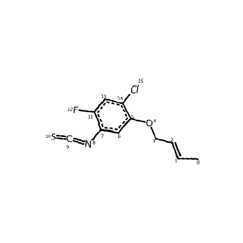 C/C=C/COc1cc(N=C=S)c(F)cc1Cl